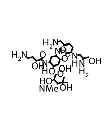 CN[C@@H]1[C@@H](O)[C@@H](O[C@@H]2[C@@H](O)[C@H](O[C@H]3OC(CN)=CC[C@H]3NCC(N)CO)[C@@H](N)C[C@H]2NC(=O)[C@@H](O)CCN)OC[C@]1(C)O